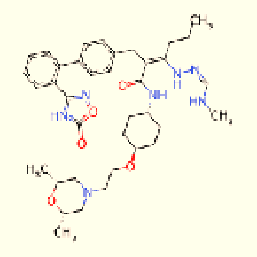 CCC/C(N/N=C\NC)=C(\Cc1ccc(-c2ccccc2-c2noc(=O)[nH]2)cc1)C(=O)N[C@H]1CC[C@H](OCCN2C[C@@H](C)O[C@@H](C)C2)CC1